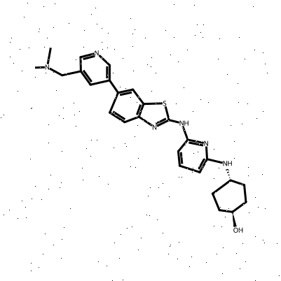 CN(C)Cc1cncc(-c2ccc3nc(Nc4cccc(N[C@H]5CC[C@H](O)CC5)n4)sc3c2)c1